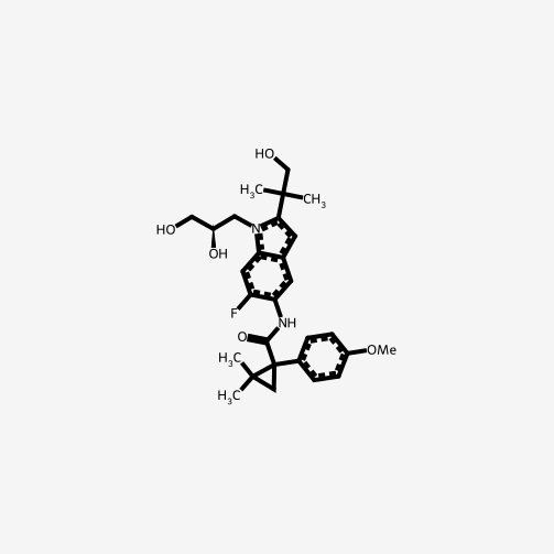 COc1ccc(C2(C(=O)Nc3cc4cc(C(C)(C)CO)n(C[C@@H](O)CO)c4cc3F)CC2(C)C)cc1